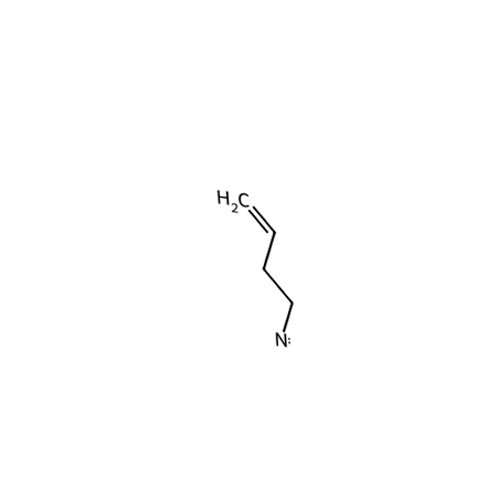 C=CCC[N]